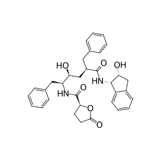 O=C1CC[C@@H](C(=O)N[C@@H](Cc2ccccc2)[C@@H](O)C[C@@H](Cc2ccccc2)C(=O)N[C@H]2c3ccccc3C[C@H]2O)O1